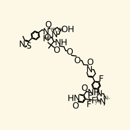 Cc1ncsc1-c1ccc(CNC(=O)[C@@H]2C[C@@H](O)CN2C(=O)C(NC(=O)CCOCCOCCC(=O)N2CC=C(c3cc(NC(=O)c4c[nH]c(=O)cc4C(F)(F)F)c(N4C[C@@H](C)N(C)[C@@H](C)C4)cc3F)CC2)C(C)(C)C)cc1